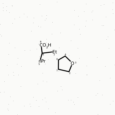 C1CCOC1.CCCC(CC)C(=O)O